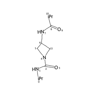 CC(C)NC(=O)N1CC(NC(=O)C(C)C)C1